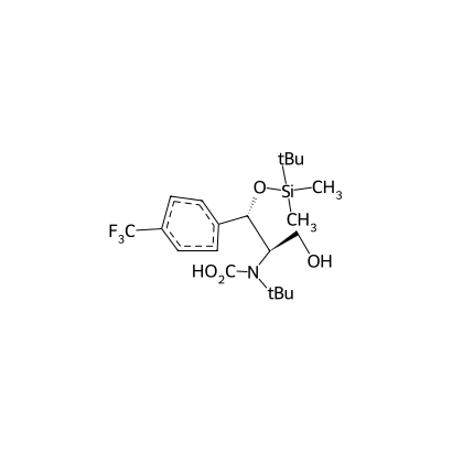 CC(C)(C)N(C(=O)O)[C@H](CO)[C@@H](O[Si](C)(C)C(C)(C)C)c1ccc(C(F)(F)F)cc1